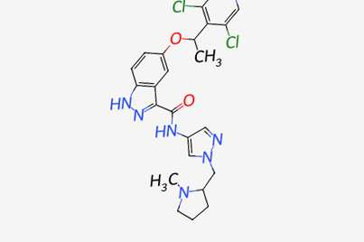 CC(Oc1ccc2[nH]nc(C(=O)Nc3cnn(CC4CCCN4C)c3)c2c1)c1c(Cl)cncc1Cl